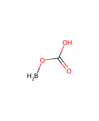 BOC(=O)O